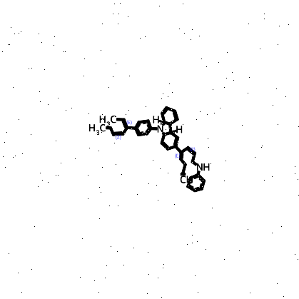 C#CC/C=C(\C=C/CNc1ccccc1)C1=C[C@H]2C3C=CC=C[C@H]3N(c3ccc(C(/C=C\CC)=C/C)cc3)C2C=C1